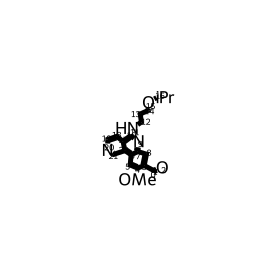 COC(=O)c1ccc2c(c1)nc(NCCCOC(C)C)c1ccncc12